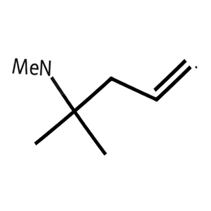 [CH]=CCC(C)(C)NC